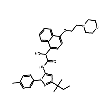 CCC(C)(C)c1cc(NC(=O)C(O)c2ccc(OCCN3CCOCC3)c3ccccc23)n(-c2ccc(C)cc2)n1